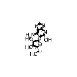 Cl.Nc1c2ncnc-2ncn1[C@@H]1O[C@H](CO)[C@@H](O)[C@@H]1O